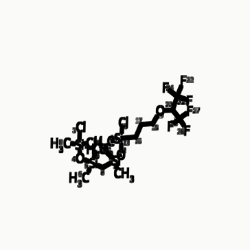 C[Si](C)(Cl)O[Si](C)(C)C[Si](C)(C)O[Si](C)(Cl)CCCOC(C(F)(F)F)C(F)(F)F